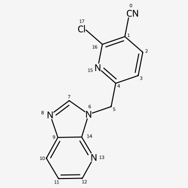 N#Cc1ccc(Cn2cnc3cccnc32)nc1Cl